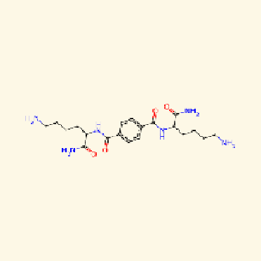 NCCCCC(NC(=O)c1ccc(C(=O)NC(CCCCN)C(N)=O)cc1)C(N)=O